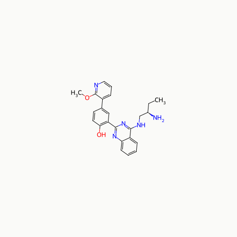 CC[C@@H](N)CNc1nc(-c2cc(-c3cccnc3OC)ccc2O)nc2ccccc12